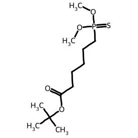 COP(=S)(CCCCCC(=O)OC(C)(C)C)OC